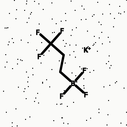 F[B-](F)(F)CCC(F)(F)F.[K+]